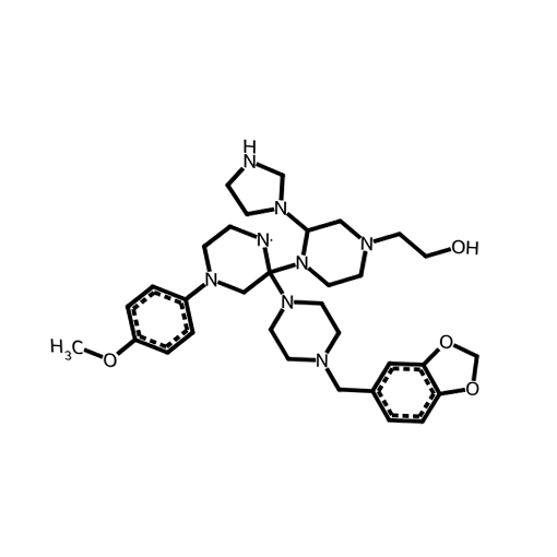 COc1ccc(N2CC[N]C(N3CCN(Cc4ccc5c(c4)OCO5)CC3)(N3CCN(CCO)CC3N3CCNC3)C2)cc1